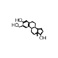 CC12CCC3c4cc(CO)c(O)cc4CCC3C1CCC2O